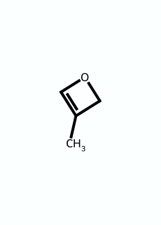 CC1=COC1